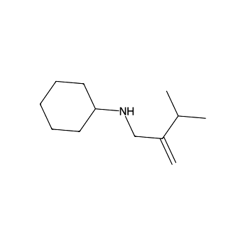 C=C(CNC1CCCCC1)C(C)C